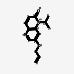 C=CCOc1cnc2ccc(=O)n(C(C)C)c2c1